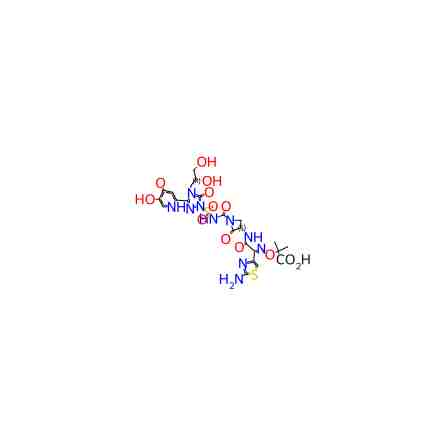 CC(C)(ON=C(C(=O)N[C@H]1CN(C(=O)NS(=O)(=O)n2nc(-c3cc(=O)c(O)c[nH]3)n(C[C@@H](O)CO)c2=O)C1=O)c1csc(N)n1)C(=O)O